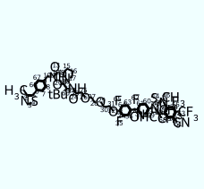 Cc1ncsc1-c1ccc(CNC(=O)[C@@H]2CCCN2C(=O)C(NC(=O)COCCOCCOc2c(F)cc(-c3ncc(N(C(=S)N(C)c4ccc(C#N)c(C(F)(F)F)c4F)C(C)(C)C=O)cc3F)cc2F)C(C)(C)C)cc1